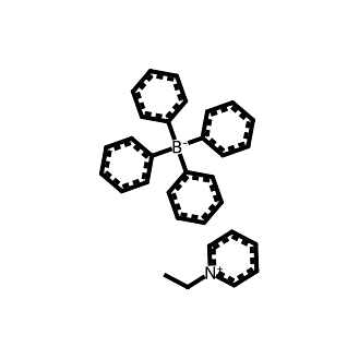 CC[n+]1ccccc1.c1ccc([B-](c2ccccc2)(c2ccccc2)c2ccccc2)cc1